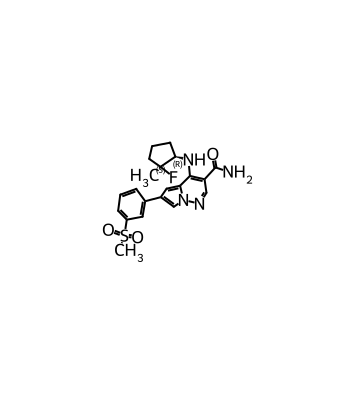 C[C@]1(F)CCC[C@H]1Nc1c(C(N)=O)cnn2cc(-c3cccc(S(C)(=O)=O)c3)cc12